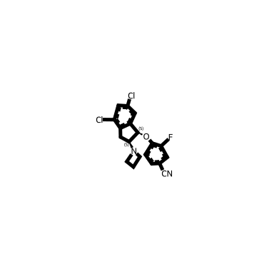 N#Cc1ccc(O[C@H]2c3cc(Cl)cc(Cl)c3C[C@@H]2N2CCC2)c(F)c1